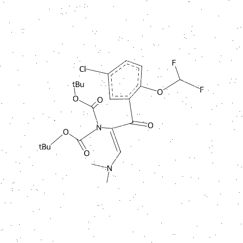 CN(C)/C=C(/C(=O)c1cc(Cl)ccc1OC(F)F)N(C(=O)OC(C)(C)C)C(=O)OC(C)(C)C